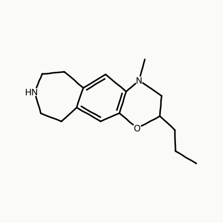 CCCC1CN(C)c2cc3c(cc2O1)CCNCC3